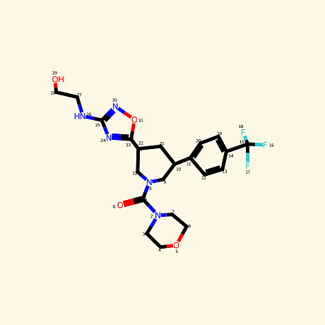 O=C(N1CCOCC1)N1CC(c2ccc(C(F)(F)F)cc2)CC(c2nc(NCCO)no2)C1